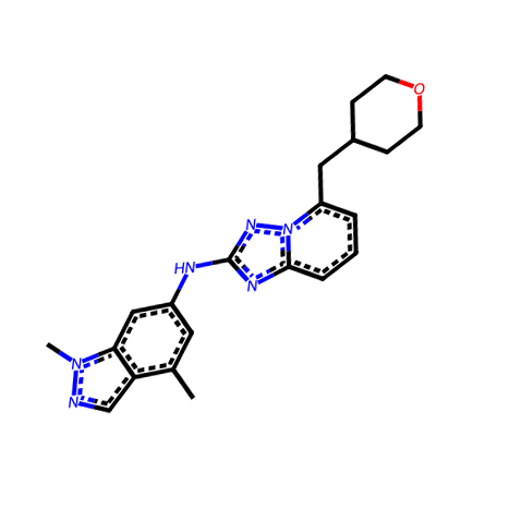 Cc1cc(Nc2nc3cccc(CC4CCOCC4)n3n2)cc2c1cnn2C